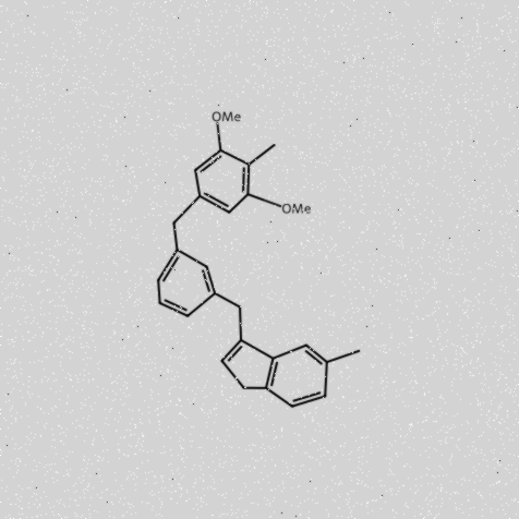 COc1cc(Cc2cccc(CC3=CCc4ccc(C)cc43)c2)cc(OC)c1C